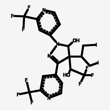 OC1N(c2ccnc(C(F)(F)F)c2)N=C(c2ccnc(C(F)(F)F)c2)C1(C(CI)CI)C(O)C(F)(F)F